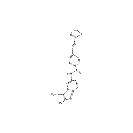 CCc1nc2ccc(NC(=O)c3ccc(C=Cc4nccs4)cc3)cn2c1C